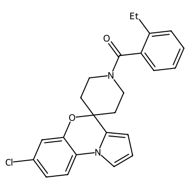 CCc1ccccc1C(=O)N1CCC2(CC1)Oc1cc(Cl)ccc1-n1cccc12